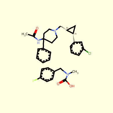 CC(=O)NC1(c2ccccc2)CCN(C[C@@H]2C[C@@H]2c2cccc(Cl)c2)CC1.CN(Cc1ccc(F)cc1)C(=O)O